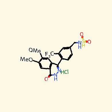 COc1cc2c(-c3ccc(CN[SH](=O)=O)cc3C(F)(F)F)n[nH]c(=O)c2cc1OC.Cl